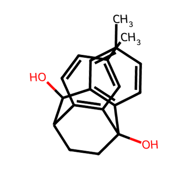 Cc1ccc2c(c1)C(O)C1CCC2(O)c2cc(C)ccc21